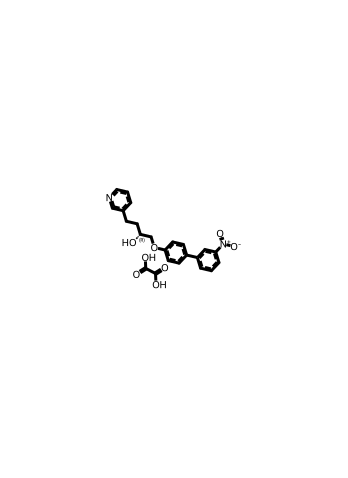 O=C(O)C(=O)O.O=[N+]([O-])c1cccc(-c2ccc(OC[C@H](O)CCc3cccnc3)cc2)c1